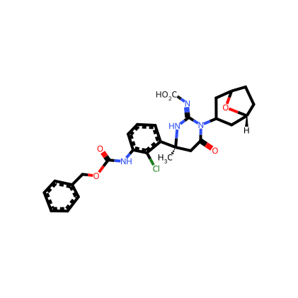 C[C@@]1(c2cccc(NC(=O)OCc3ccccc3)c2Cl)CC(=O)N(C2CC3CC[C@H](C2)O3)/C(=N/C(=O)O)N1